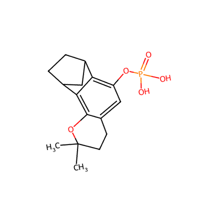 CC1(C)CCc2cc(OP(=O)(O)O)c3c(c2O1)C1CCC3C1